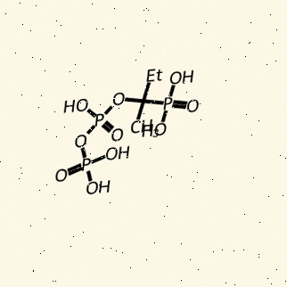 CCC(C)(OP(=O)(O)OP(=O)(O)O)P(=O)(O)O